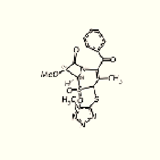 CO[C@H]1C(=O)N2C(C(=O)c3ccccc3)=C(C)C(Sc3nnnn3C)S(=O)(=O)[C@@H]12